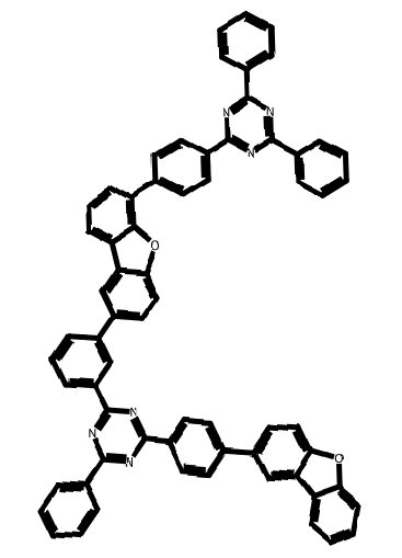 c1ccc(-c2nc(-c3ccccc3)nc(-c3ccc(-c4cccc5c4oc4ccc(-c6cccc(-c7nc(-c8ccccc8)nc(-c8ccc(-c9ccc%10oc%11ccccc%11c%10c9)cc8)n7)c6)cc45)cc3)n2)cc1